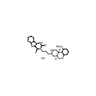 COc1cccc2c1[C@H]1CNC(CCCn3c(=O)[nH]c4c(sc5ncccc54)c3=O)C[C@@H]1CO2.Cl